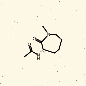 CC(=O)N[C@H]1CCCCN(C)C1=O